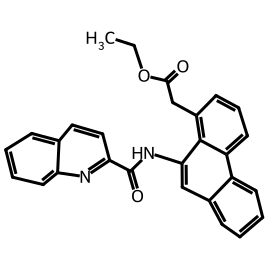 CCOC(=O)Cc1cccc2c1c(NC(=O)c1ccc3ccccc3n1)cc1ccccc12